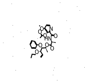 C=C[C@H](OCCC)[C@@H](Oc1ccccc1)[C@H](C)OC(=O)[C@H](C)NC(=O)c1nccc(OC)c1OC(C)=O